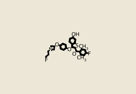 Cc1cc(F)cc(C)c1C(=O)c1sc2cc(O)ccc2c1Oc1ccc(OC2CN(CCCF)C2)cc1